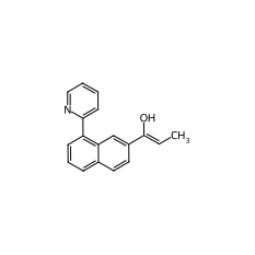 CC=C(O)c1ccc2cccc(-c3ccccn3)c2c1